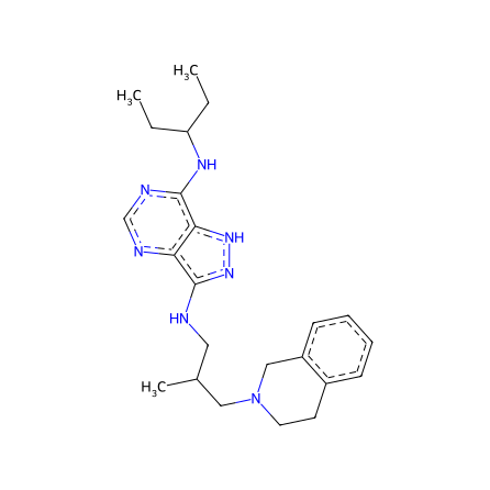 CCC(CC)Nc1ncnc2c(NCC(C)CN3CCc4ccccc4C3)n[nH]c12